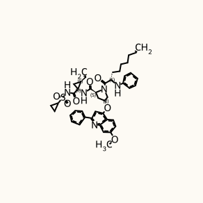 C=CCCCCC[C@H](Nc1ccccc1)C(=O)N1C[C@H](Oc2cc(-c3ccccc3)nc3cc(OC)ccc23)C[C@H]1C(=O)N[C@]1(C(=O)NS(=O)(=O)C2CC2)C[C@H]1C=C